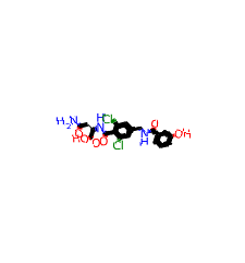 NC(=O)C[C@H](NC(=O)c1c(Cl)cc(CNC(=O)c2cccc(O)c2)cc1Cl)C(=O)O